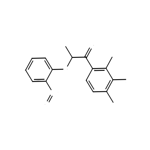 Cc1ccc(C(=O)C(C)Oc2ccccc2P=O)c(C)c1C